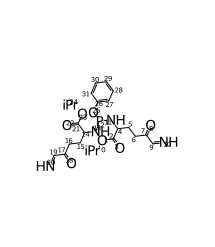 CC(C)OC(=O)C(CCC(=O)C=N)NP(NC(CCC(=O)C=N)C(=O)OC(C)C)Oc1ccccc1